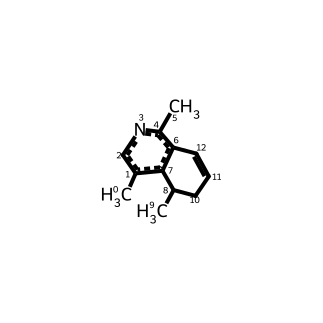 Cc1cnc(C)c2c1C(C)CC=C2